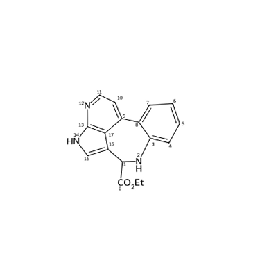 CCOC(=O)C1Nc2ccccc2-c2ccnc3[nH]cc1c23